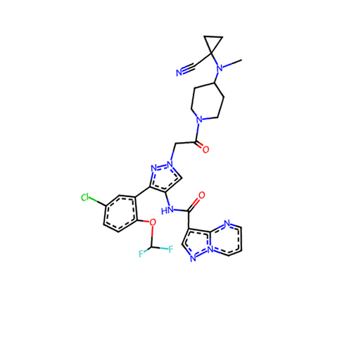 CN(C1CCN(C(=O)Cn2cc(NC(=O)c3cnn4cccnc34)c(-c3cc(Cl)ccc3OC(F)F)n2)CC1)C1(C#N)CC1